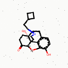 O=C1CC[C@@]2(O)C3Cc4ccc(O)c5c4C2(CCN3CC2CCC2)[C@H]1O5